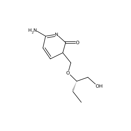 CC[C@@H](CO)OCC1C=CC(N)=NC1=O